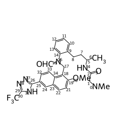 CNCC(=O)NC(C)CCc1ccccc1N(C=O)Cc1c(OC)ccc2cc(-c3nnc(C(F)(F)F)[nH]3)ccc12